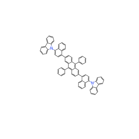 c1ccc(-c2c3ccc(-c4ccc(-n5c6ccccc6c6ccccc65)c5ccccc45)cc3c(-c3ccccc3)c3ccc(-c4ccc(-n5c6ccccc6c6ccccc65)c5ccccc45)cc23)cc1